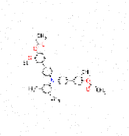 C=CC(=O)Oc1ccc(-c2ccc(N(c3ccc(-c4ccc(OC(=O)C=C)c(OCC)c4)cc3)c3cc(C)cc(C)c3)cc2)cc1C